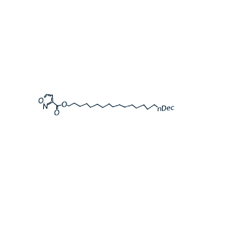 CCCCCCCCCCCCCCCCCCCCCCCCCCOC(=O)c1ccon1